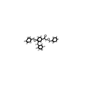 O=C(COCc1ccccc1)c1ccc(OCc2ccccc2)c(Cc2ccccc2)c1